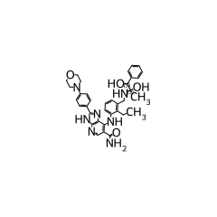 CCc1c(CN[C@@](C)(O)[C@@H](O)c2ccccc2)cccc1Nc1c(C(N)=O)cnc2[nH]c(-c3ccc(N4CCOCC4)cc3)nc12